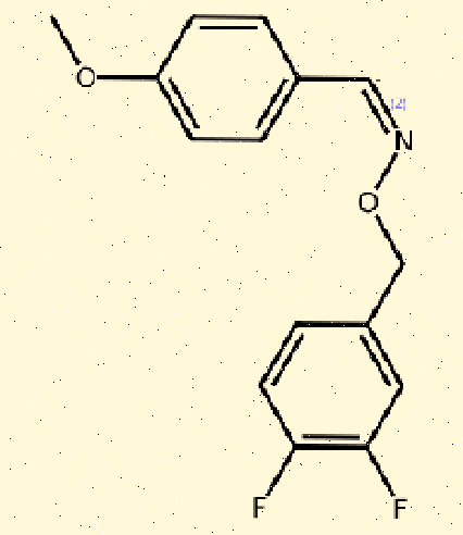 COc1ccc(/[C]=N\OCc2ccc(F)c(F)c2)cc1